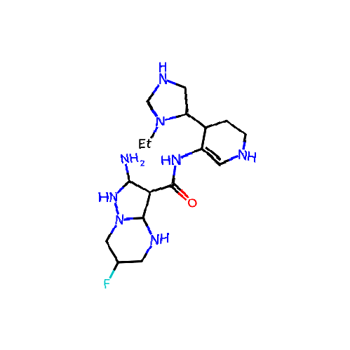 CCN1CNCC1C1CCNC=C1NC(=O)C1C(N)NN2CC(F)CNC12